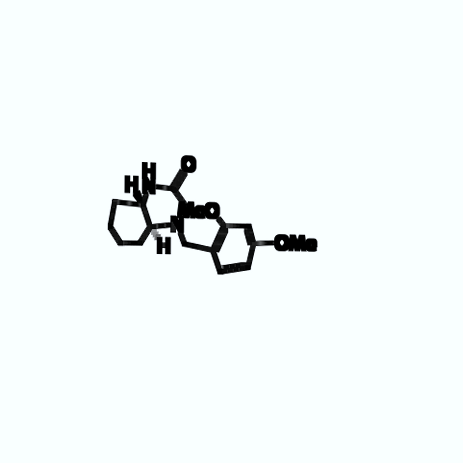 COc1ccc(CN2CC(=O)N[C@H]3CCCC[C@@H]32)c(OC)c1